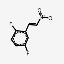 O=[N+]([O-])C=Cc1cc(F)ccc1F